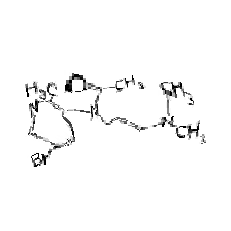 CC(=O)N(C/C=C/N(C)C)c1cc(Br)cnc1C